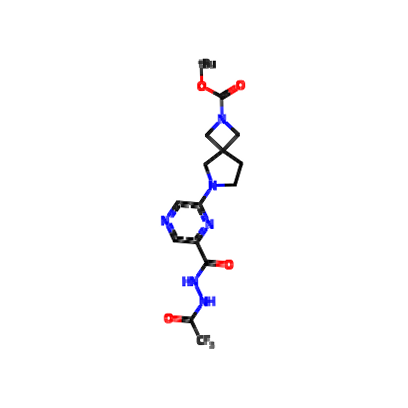 CC(C)(C)OC(=O)N1CC2(CCN(c3cncc(C(=O)NNC(=O)C(F)(F)F)n3)C2)C1